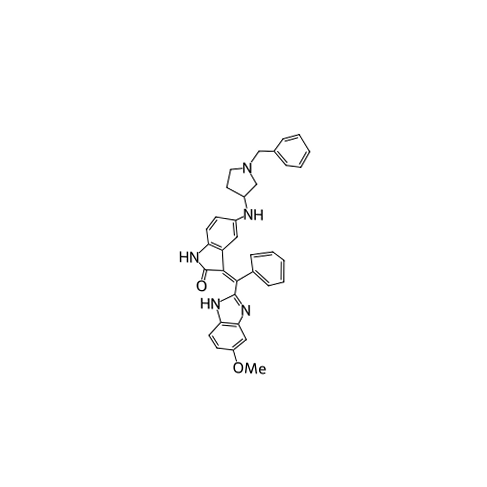 COc1ccc2[nH]c(/C(=C3\C(=O)Nc4ccc(NC5CCN(Cc6ccccc6)C5)cc43)c3ccccc3)nc2c1